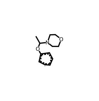 CC(Oc1c[c]ccc1)N1CCOCC1